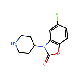 O=c1oc2ccc(F)cc2n1C1CCNCC1